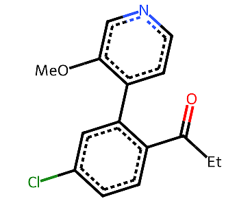 CCC(=O)c1ccc(Cl)cc1-c1ccncc1OC